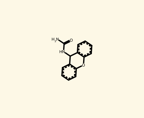 NC(=O)NC1c2ccccc2Oc2ccccc21